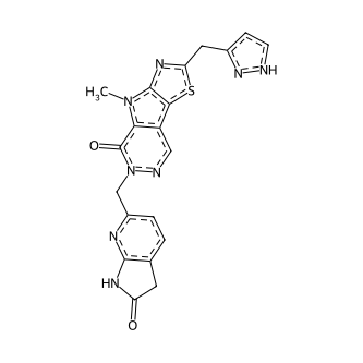 Cn1c2nc(Cc3cc[nH]n3)sc2c2cnn(Cc3ccc4c(n3)NC(=O)C4)c(=O)c21